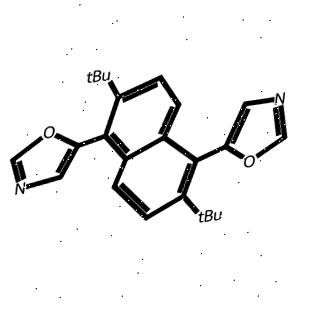 CC(C)(C)c1ccc2c(-c3cnco3)c(C(C)(C)C)ccc2c1-c1cnco1